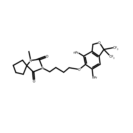 CCCc1cc2c(c(CCC)c1OCCCCN1C(=O)N(C)C3(CCCC3)C1=O)COC2(C(F)(F)F)C(F)(F)F